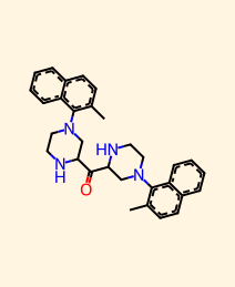 Cc1ccc2ccccc2c1N1CCNC(C(=O)C2CN(c3c(C)ccc4ccccc34)CCN2)C1